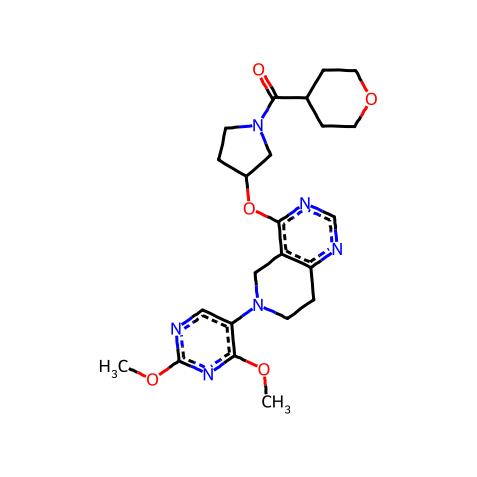 COc1ncc(N2CCc3ncnc(OC4CCN(C(=O)C5CCOCC5)C4)c3C2)c(OC)n1